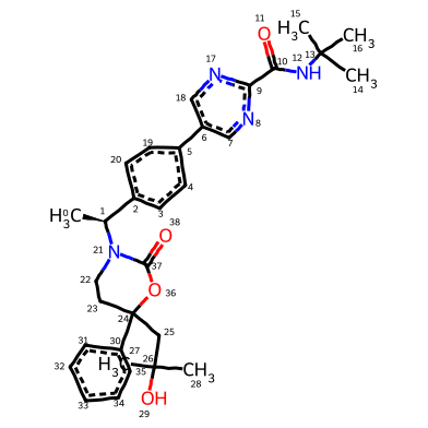 C[C@@H](c1ccc(-c2cnc(C(=O)NC(C)(C)C)nc2)cc1)N1CCC(CC(C)(C)O)(c2ccccc2)OC1=O